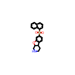 O=S(=O)(c1ccc2c(c1)OC1CNCCC21)c1cccc2ccccc12